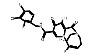 O=C(NCc1ccc(F)c(Cl)c1F)c1cn2c(c(O)c1=O)C(=O)N1CCC=C(F)[C@@H]2C1